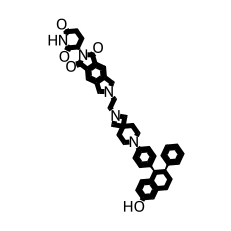 O=C1CC[C@@H](N2C(=O)c3cc4c(cc3C2=O)CN(CCN2CC3(CCN(c5ccc([C@@H]6c7ccc(O)cc7CC[C@@H]6c6ccccc6)cc5)CC3)C2)C4)C(=O)N1